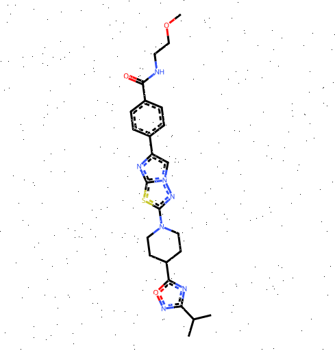 COCCNC(=O)c1ccc(-c2cn3nc(N4CCC(c5nc(C(C)C)no5)CC4)sc3n2)cc1